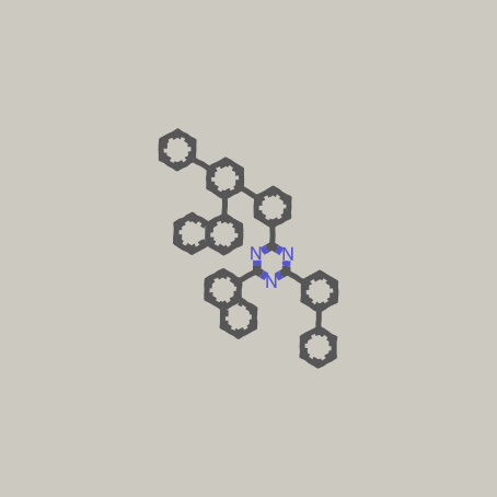 c1ccc(-c2cccc(-c3nc(-c4cccc(-c5ccc(-c6ccccc6)cc5-c5cccc6ccccc56)c4)nc(-c4cccc5ccccc45)n3)c2)cc1